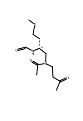 CSCC[C@H](CN(CCC(C)=O)C(C)=O)NC=O